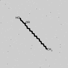 CCCCCCCCCCCCCCCCCCCCC(O)CCCCO